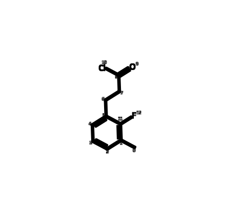 Cc1cccc(CCC(=O)Cl)c1F